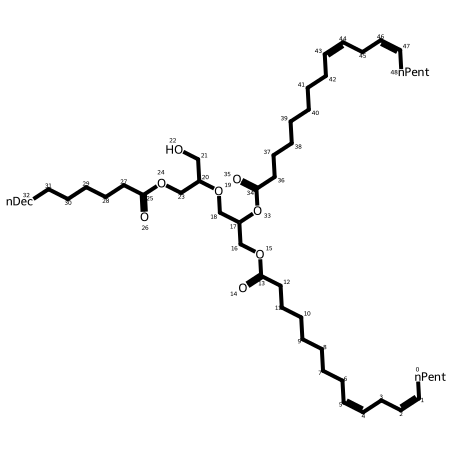 CCCCC/C=C\C/C=C\CCCCCCCC(=O)OCC(COC(CO)COC(=O)CCCCCCCCCCCCCCC)OC(=O)CCCCCCC/C=C\C/C=C\CCCCC